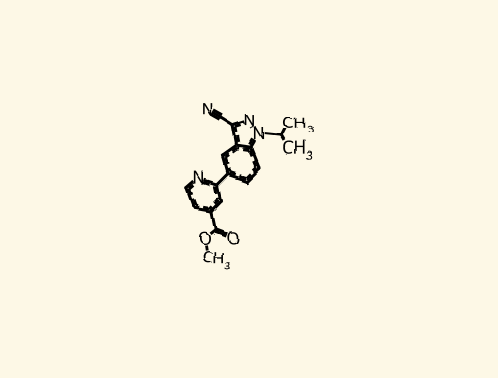 COC(=O)c1ccnc(-c2ccc3c(c2)c(C#N)nn3C(C)C)c1